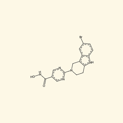 O=C(NO)c1cnc(N2CCc3[nH]c4ccc(Br)cc4c3C2)nc1